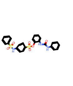 O=C(Nc1ccccc1)Nc1ccccc1OS(=O)(=O)c1ccc(NS(=O)(=O)c2ccccc2)cc1